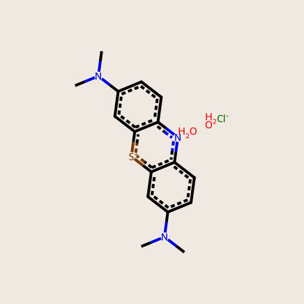 CN(C)c1ccc2nc3ccc(N(C)C)cc3[s+]c2c1.O.O.[Cl-]